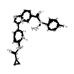 CN(C(=O)c1ccc2ncc(-c3ccc(NC(=O)C4CC4)nc3)n2c1)c1ccc(F)cc1